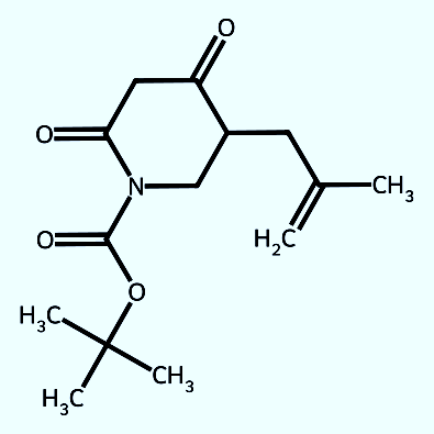 C=C(C)CC1CN(C(=O)OC(C)(C)C)C(=O)CC1=O